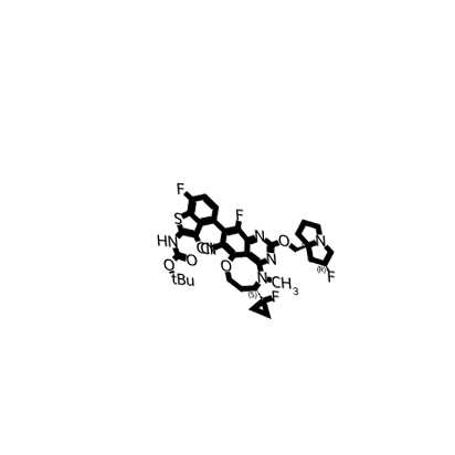 CN1c2nc(OC[C@@]34CCCN3C[C@H](F)C4)nc3c(F)c(-c4ccc(F)c5sc(NC(=O)OC(C)(C)C)c(C#N)c45)c(Cl)c(c23)OCC[C@H]1C1(F)CC1